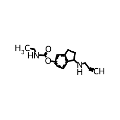 C#CCNC1CCc2cc(OC(=O)NCC)ccc21